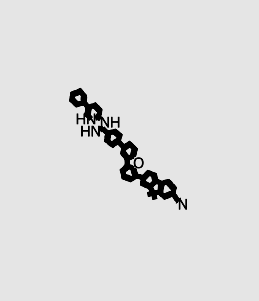 CC1(C)c2cc(C#N)ccc2-c2ccc(-c3cccc4c3oc3ccc(-c5ccc(C(=N)NC6C=CC(c7ccccc7)=CN6)cc5)cc34)cc21